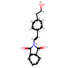 O=C1c2ccccc2C(=O)N1C=Cc1ccc(CCO)cc1